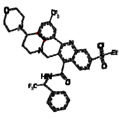 CCS(=O)(=O)c1ccc2c(C(=O)NC(c3ccccc3)C(F)(F)F)c(CN3CCC(N4CCOCC4)CC3)c(-c3cccc(C(F)(F)F)c3)nc2c1